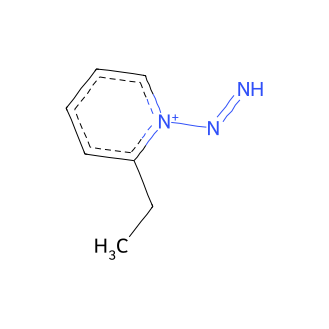 CCc1cccc[n+]1N=N